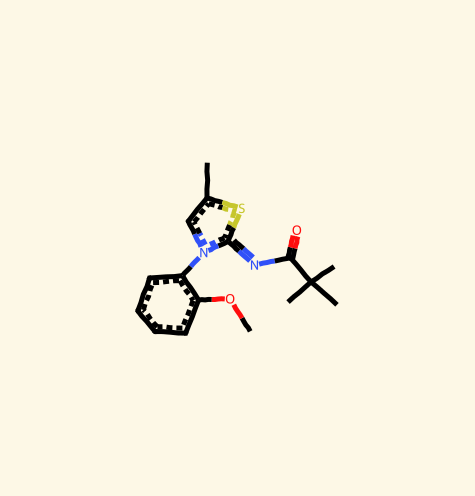 COc1ccccc1-n1cc(C)s/c1=N\C(=O)C(C)(C)C